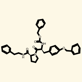 O=C(N[C@@H](Cc1ccc(OCc2ccccc2)cc1)C(=O)N1CCC[C@H]1C(=O)NCCc1ccccc1)OCc1ccccc1